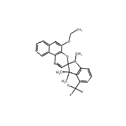 CCOc1cc2ccccc2c2c1OC1(C=N2)N(C)c2cccc(C(F)(F)F)c2C1(C)C